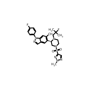 Cc1cc2c(cnn2-c2ccc(F)cc2)cc1[C@@H]1CN(S(=O)(=O)c2cnn(C)n2)CCN1CC(C)(C)F